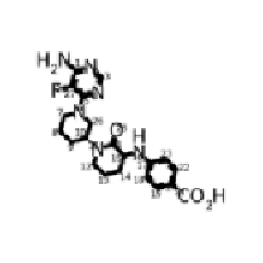 Nc1ncnc(N2CCC[C@@H](N3CCCC(Nc4ccc(C(=O)O)cc4)C3=O)C2)c1F